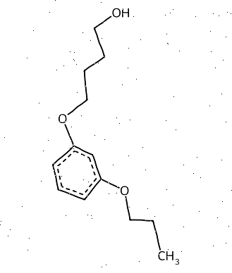 CCCOc1cccc(OCCCCO)c1